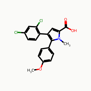 COc1ccc(-c2c(-c3ccc(Cl)cc3Cl)cc(C(=O)O)n2C)cc1